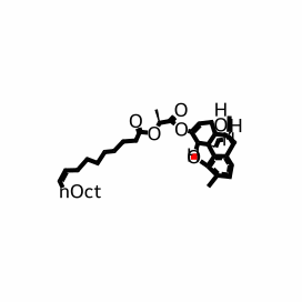 CCCCCCCC/C=C\CCCCCCCC(=O)O[C@@H](C)C(=O)OC1=CC[C@@]2(O)[C@H]3Cc4ccc(C)c5c4[C@@]2(CCN3C)[C@H]1O5